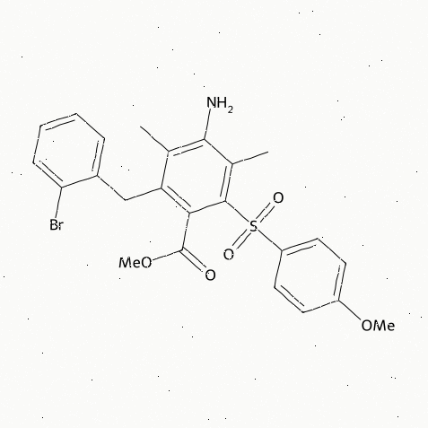 COC(=O)c1c(Cc2ccccc2Br)c(C)c(N)c(C)c1S(=O)(=O)c1ccc(OC)cc1